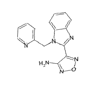 Nc1nonc1-c1nc2ccccc2n1Cc1ccccn1